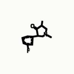 CC1CN(C)CC(c2cccc(F)c2)C1=O